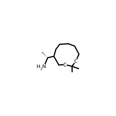 C[C@@H](N)C1CCCCCCC(C)(C)CC1